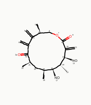 C=C1C(=C)[C@@H](C)COC(=O)C(=C)[C@@H](N=O)[C@H](C)[C@@H](N=O)[C@@H](C)C[C@@H](C)C1=O